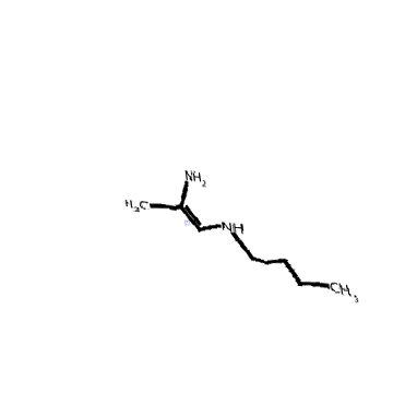 CCCCN/C=C(/C)N